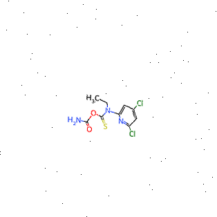 CCN(C(=S)OC(N)=O)c1cc(Cl)cc(Cl)n1